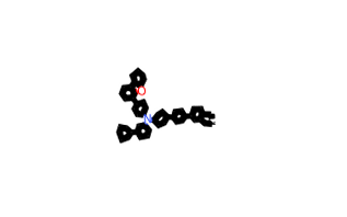 c1ccc(-c2cccc(N(c3ccc(-c4ccc(-c5ccc6ccccc6c5)cc4)cc3)c3ccc(-c4cccc5c4oc4ccccc45)cc3)c2)cc1